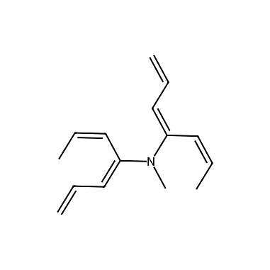 C=C/C=C(\C=C/C)N(C)C(/C=C\C)=C/C=C